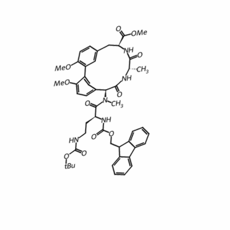 COC(=O)[C@@H]1Cc2ccc(OC)c(c2)-c2cc(ccc2OC)[C@H](N(C)C(=O)[C@H](CCNC(=O)OC(C)(C)C)NC(=O)OCC2c3ccccc3-c3ccccc32)C(=O)N[C@@H](C)C(=O)N1